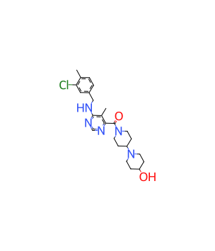 Cc1ccc(CNc2ncnc(C(=O)N3CCC(N4CCC(O)CC4)CC3)c2C)cc1Cl